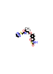 Cc1oc(CSc2ncccn2)nc1CCOc1ccc(CC2NC(=O)SC2=O)cc1